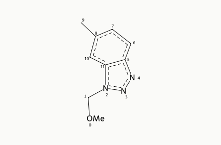 COCn1nnc2ccc(C)cc21